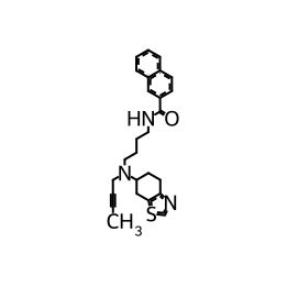 CC#CCN(CCCCNC(=O)c1ccc2ccccc2c1)C1CCc2ncsc2C1